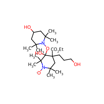 CCOC(=O)C1(CCCO)CC(C)(C)N([O])C(C)(C)C1(O)ON1C(C)(C)CC(O)CC1(C)C